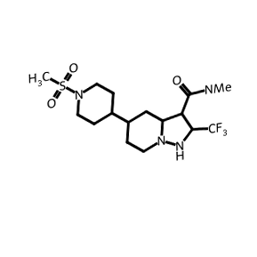 CNC(=O)C1C2CC(C3CCN(S(C)(=O)=O)CC3)CCN2NC1C(F)(F)F